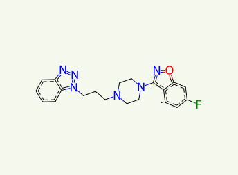 Fc1c[c]c2c(N3CCN(CCCn4nnc5ccccc54)CC3)noc2c1